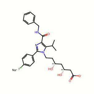 CC(C)c1c(C(=O)NCc2ccccc2)nc(-c2ccc(F)cc2)n1CC[C@@H](O)C[C@@H](O)CC(=O)[O-].[Na+]